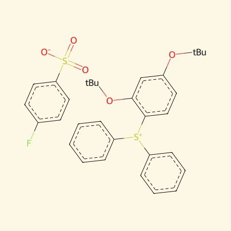 CC(C)(C)Oc1ccc([S+](c2ccccc2)c2ccccc2)c(OC(C)(C)C)c1.O=S(=O)([O-])c1ccc(F)cc1